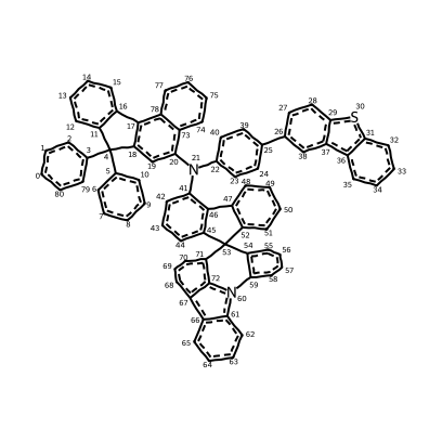 c1ccc(C2(c3ccccc3)c3ccccc3-c3c2cc(N(c2ccc(-c4ccc5sc6ccccc6c5c4)cc2)c2cccc4c2-c2ccccc2C42c4ccccc4-n4c5ccccc5c5cccc2c54)c2ccccc32)cc1